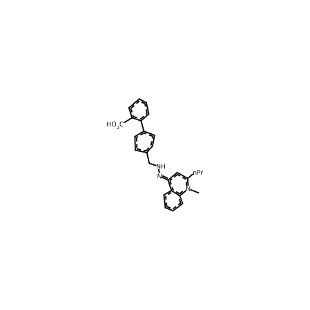 CCCc1cc(=NNCc2ccc(-c3ccccc3C(=O)O)cc2)c2ccccc2n1C